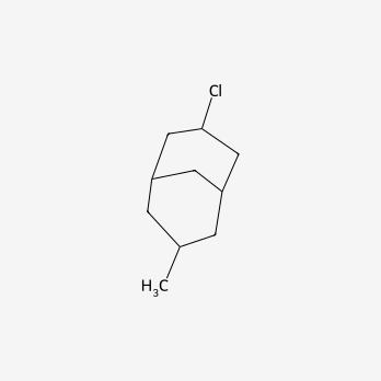 CC1CC2CC(Cl)CC(C1)C2